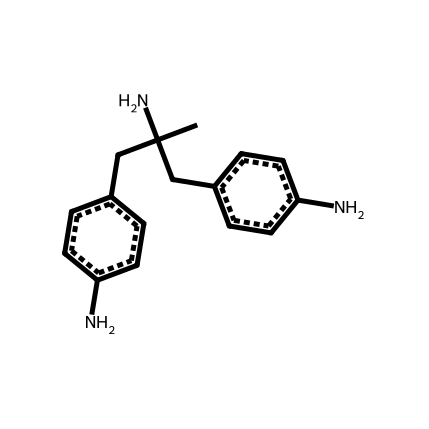 CC(N)(Cc1ccc(N)cc1)Cc1ccc(N)cc1